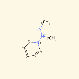 CNN(C)N1C=CC=CC1